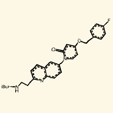 CC[C@H](C)NCCc1ccc2cc(-n3ccc(OCc4ccc(F)cc4)cc3=O)ccc2n1